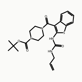 C=CCNC(=O)Nc1sc2ccccc2c1C(=O)N1CCN(C(=O)OC(C)(C)C)CC1